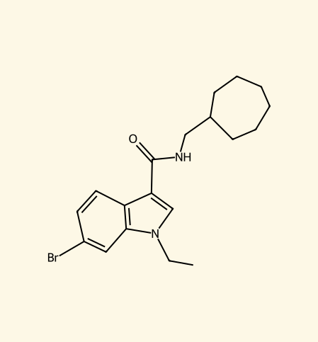 CCn1cc(C(=O)NCC2CCCCCC2)c2ccc(Br)cc21